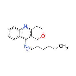 CCCCC/C=N\c1c2c(nc3ccccc13)CCOC2